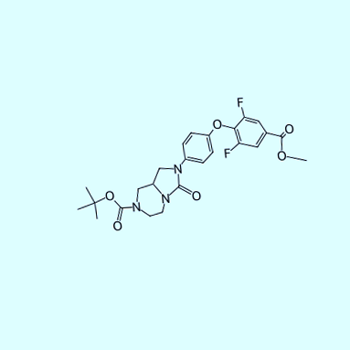 COC(=O)c1cc(F)c(Oc2ccc(N3CC4CN(C(=O)OC(C)(C)C)CCN4C3=O)cc2)c(F)c1